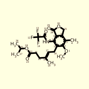 COc1c(C)c2c(c(NC(=O)C(F)(F)F)c1C/C=C(\C)CCC(=O)OC(C)C)C(=O)OC2